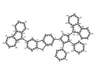 c1ccc(-c2c(-c3ccc4c(c3)Cc3ccc(-n5c6ccccc6c6ccccc65)cc3-4)sc(-n3c4ccccc4c4ccccc43)c2-c2ccccc2)cc1